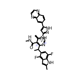 C=C(Nc1cc(-c2ccc3nccnc3c2)[nH]n1)/C(C(=O)NC)=C(\N=C/N)C(C)c1cc(F)c2[nH]c(C)cc2c1F